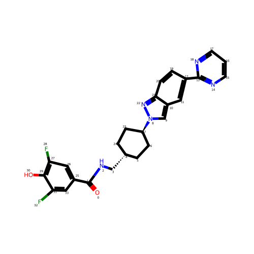 O=C(NC[C@H]1CC[C@H](n2cc3cc(-c4ncccn4)ccc3n2)CC1)c1cc(F)c(O)c(F)c1